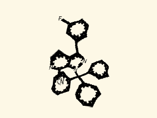 N#Cc1nccc2c(-c3cccc(F)c3)nn(C(c3ccccc3)(c3ccccc3)c3ccccc3)c12